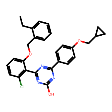 CCc1ccccc1COc1cccc(Cl)c1-c1nc(O)nc(-c2ccc(OCC3CC3)cc2)n1